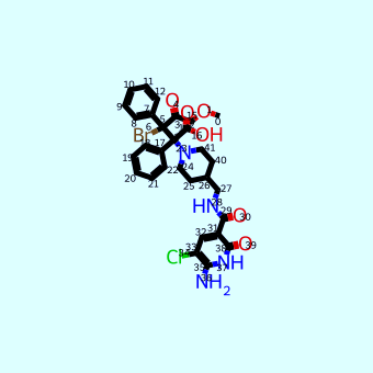 COCC(=O)C(Br)(c1ccccc1)C(C(=O)O)(c1ccccc1)N1CCC(CNC(=O)c2cc(Cl)c(N)[nH]c2=O)CC1